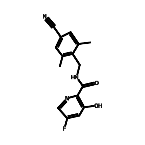 Cc1cc(C#N)cc(C)c1CNC(=O)c1ncc(F)cc1O